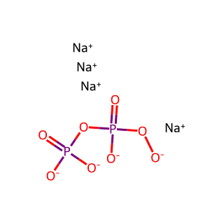 O=P([O-])([O-])OP(=O)([O-])O[O-].[Na+].[Na+].[Na+].[Na+]